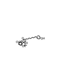 CC1(C)CC2(NC(=O)N(CCCCCCCN3CCC(O)CC3)C2=O)c2cc(Cl)ccc2O1